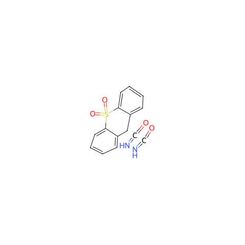 N=C=O.N=C=O.O=S1(=O)c2ccccc2Cc2ccccc21